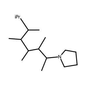 CC(C)C(C)C(C)C(C)C(C)C(C)N1CCCC1